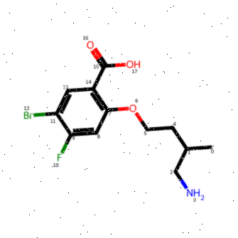 CC(CN)CCOc1cc(F)c(Br)cc1C(=O)O